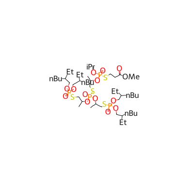 CCCCC(CC)COP(=O)(OCC(CC)CCCC)SCC(C)OP(=O)(OC(C)CSP(=O)(OCC(CC)CCCC)OCC(CC)CCCC)SCC(C)OP(=O)(OC(C)C)SCCC(=O)OC